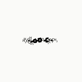 CC(C)(F)CN1CCC(COc2ccc(-c3ccc(C(=O)NC(C)(C)C)cc3)cc2)CC1